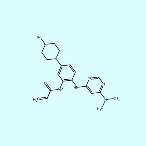 C=CC(=O)Nc1cc(N2CCN(C(C)C)CC2)ccc1Nc1cc(N(C)C)ncn1